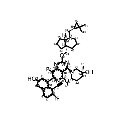 C#Cc1c(F)ccc2cc(O)cc(-c3nc(OC)c4c(N5CCC[C@@](C)(O)C5)nc(OC[C@]56CCC[C@H]5N(C[C@H]5CC5(C)C)CCC6)nc4c3F)c12